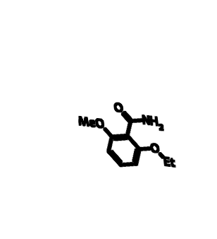 CCOc1cccc(OC)c1C(N)=O